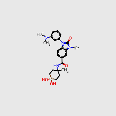 CC(C)n1c(=O)n(-c2cccc(N(C)C)c2)c2ccc(C(=O)NC3(C)CCS(O)(O)CC3)cc21